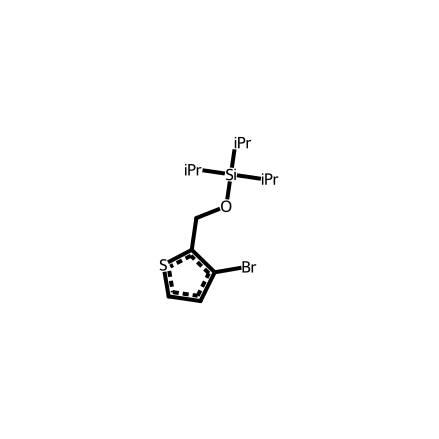 CC(C)[Si](OCc1sccc1Br)(C(C)C)C(C)C